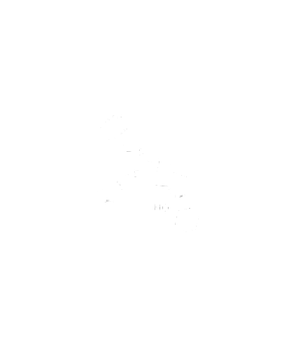 Cc1cc(C2(C)CCCCC2)c(O)c(C)c1CC(C)(C)C(SCc1ccccc1)SCc1ccccc1